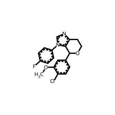 COc1cc(C2OCCc3ncn(-c4ccc(F)cc4)c32)ccc1Cl